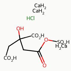 Cl.O=C(O)CC(O)(CC(=O)OS(=O)(=O)O)C(=O)O.[CaH2].[CaH2].[CaH2]